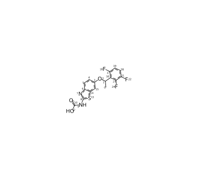 CC(Oc1ccc2nc(NC(=O)O)sc2c1)c1c(F)ccc(F)c1F